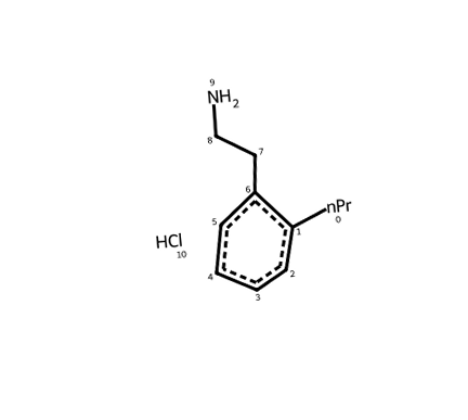 CCCc1ccccc1CCN.Cl